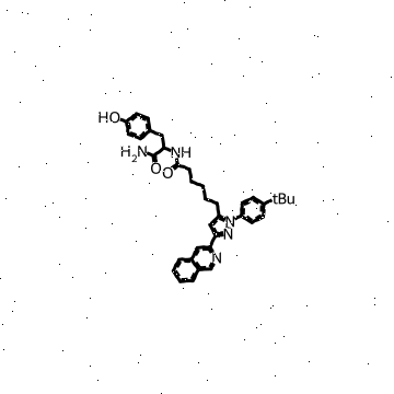 CC(C)(C)c1ccc(-n2nc(-c3cc4ccccc4cn3)cc2CCCCCC(=O)NC(Cc2ccc(O)cc2)C(N)=O)cc1